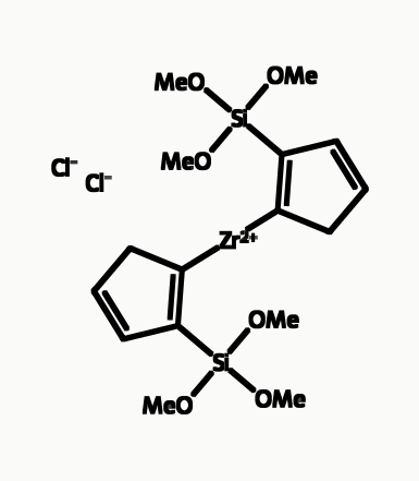 CO[Si](OC)(OC)C1=[C]([Zr+2][C]2=C([Si](OC)(OC)OC)C=CC2)CC=C1.[Cl-].[Cl-]